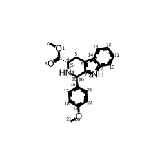 COC(=O)[C@@H]1Cc2c([nH]c3ccccc23)[C@@H](c2ccc(OC)cc2)N1